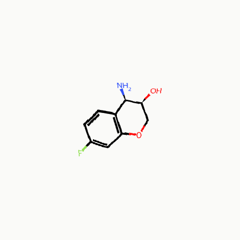 N[C@@H]1c2ccc(F)cc2OC[C@@H]1O